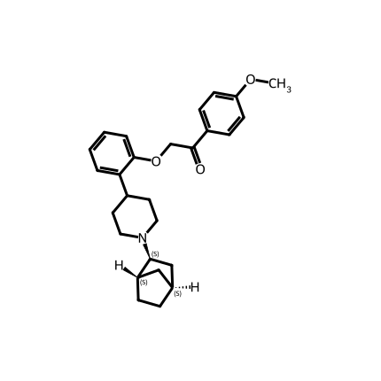 COc1ccc(C(=O)COc2ccccc2C2CCN([C@H]3C[C@H]4CC[C@H]3C4)CC2)cc1